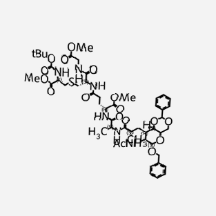 COC(=O)CNC(=O)[C@@H](CSC[C@H](NC(=O)OC(C)(C)C)C(=O)OC)NC(=O)CC[C@@H](NC(=O)[C@H](C)NC(=O)[C@@H](C)C[C@@H]1C(NC(C)=O)[C@@H](OCc2ccccc2)OC2COC(c3ccccc3)O[C@H]21)C(=O)OC